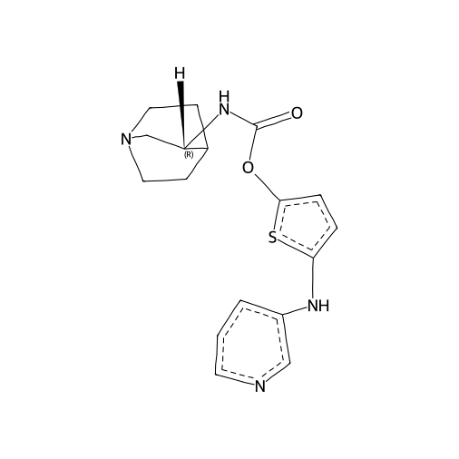 O=C(N[C@H]1CN2CCC1CC2)Oc1ccc(Nc2cccnc2)s1